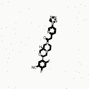 N#Cc1cc([C@@H]2CN3CCN(C(=O)Cc4ccc(-n5cnnn5)cn4)C[C@H]3CO2)c(F)cc1F